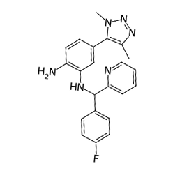 Cc1nnn(C)c1-c1ccc(N)c(NC(c2ccc(F)cc2)c2ccccn2)c1